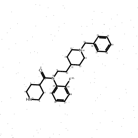 O=C(C1CCNCC1)N(CCC1CCN(Cc2ccccc2)CC1)c1ccccc1F